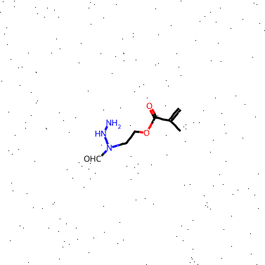 C=C(C)C(=O)OCCN(C=O)NN